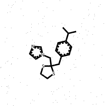 CC(C)c1ccc(CC2(Cn3ccnc3)SCCS2)cc1